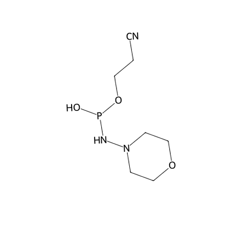 N#CCCOP(O)NN1CCOCC1